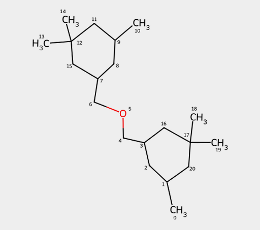 CC1CC(COCC2CC(C)CC(C)(C)C2)CC(C)(C)C1